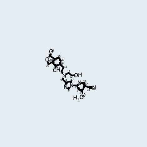 COc1cc(-n2cnc(CN(CCO)CCc3ccc4c(c3C)COC4=O)c2)ncc1C#N